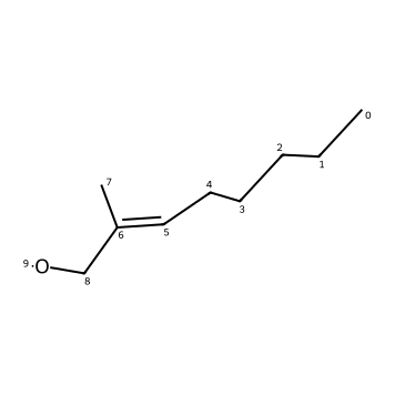 CCCCC/C=C(\C)C[O]